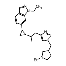 CCN1CCC(Cn2cc(CC(C)[C@H]3C[C@@H]3c3cc4c(cn3)cnn4CC(F)(F)F)nn2)C1